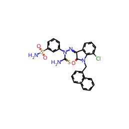 NC(=S)N(/N=C1\C(=O)N(Cc2cccc3ccccc23)c2c(Cl)cccc21)c1cccc(S(N)(=O)=O)c1